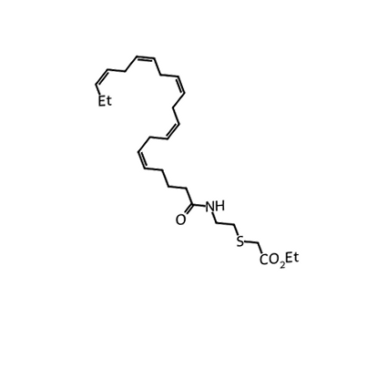 CC/C=C\C/C=C\C/C=C\C/C=C\C/C=C\CCCC(=O)NCCSCC(=O)OCC